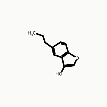 CCCc1ccc2occ(O)c2c1